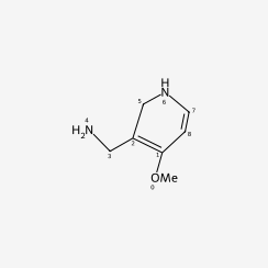 COC1=C(CN)CNC=C1